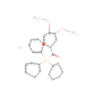 COc1ccc(C(=O)[P+](c2ccccc2)(c2ccccc2)c2ccccc2)cc1OC.[Br-]